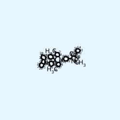 Cc1ccc2c(c1)C(c1ccccc1)(c1cccc(-n3c4ccccc4c4ccccc43)c1)c1cc(C)ccc1N2c1ccc(-c2nc(C)nc(-c3ccccc3)c2C)cc1